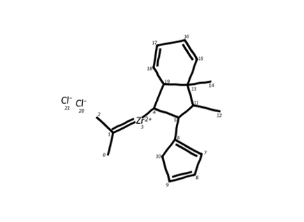 C[C](C)=[Zr+2][CH]1C(C2=CC=CC2)C(C)C2(C)C=CC=CC12.[Cl-].[Cl-]